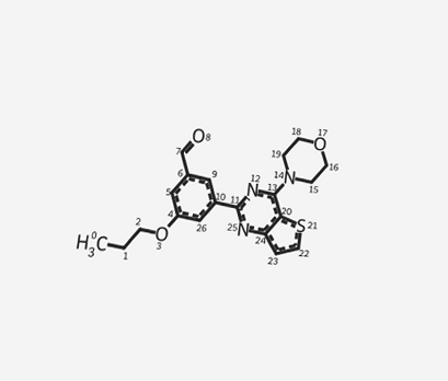 CCCOc1cc(C=O)cc(-c2nc(N3CCOCC3)c3sccc3n2)c1